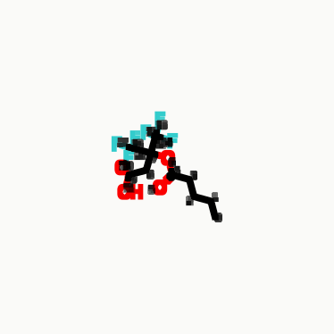 CCCCC(=O)OC(CC(=O)O)(C(F)(F)F)C(F)(F)F